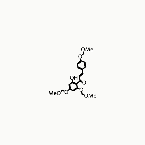 COCOc1ccc(C=CC(=O)c2c(O)cc(OCOC)cc2OCOC)cc1